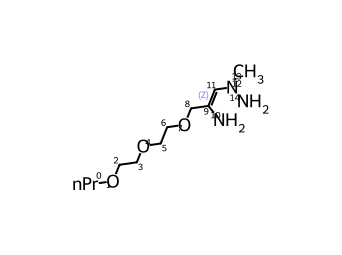 CCCOCCOCCOC/C(N)=C/N(C)N